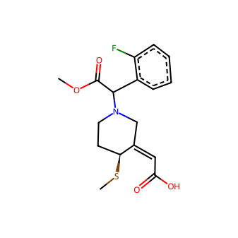 COC(=O)C(c1ccccc1F)N1CC[C@H](SC)/C(=C\C(=O)O)C1